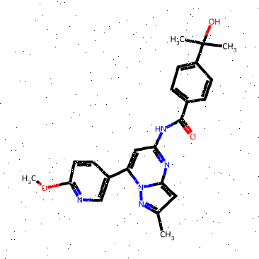 COc1ccc(-c2cc(NC(=O)c3ccc(C(C)(C)O)cc3)nc3cc(C)nn23)cn1